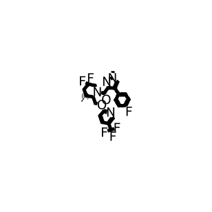 C[C@@H]1CC(F)(F)CN(C(=O)c2nn(C)cc2-c2ccc(F)cc2)C1COc1ccc(C(F)(F)F)cn1